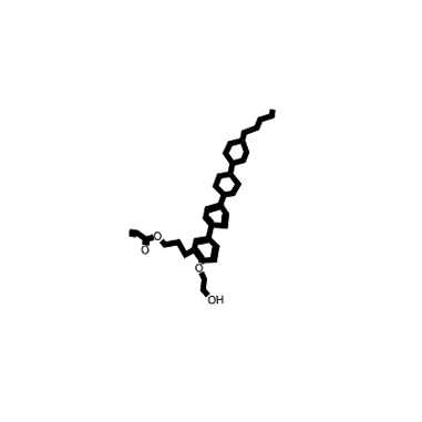 C=CC(=O)OCCCc1cc(-c2ccc(C3CCC(C4CCC(CCCCC)CC4)CC3)cc2)ccc1OCCO